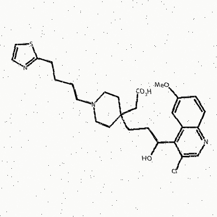 COc1ccc2ncc(Cl)c(C(O)CCC3(CC(=O)O)CCN(CCCCc4nccs4)CC3)c2c1